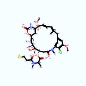 COc1cc2cc(c1Cl)N(C)C(=O)C[C@H](OC(=O)C(C)N(C)C(=O)CCS)[C@](C)(O)[C@@H](I)[C@H](C)[C@@H]1C[C@@](O)(NC(=O)O1)[C@H](OC)/C=C/C=C(\C)C2